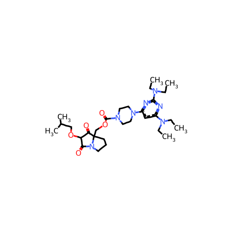 CCN(CC)c1cc(N2CCN(C(=O)OCC34CCCN3C(=O)C(OCC(C)C)C4=O)CC2)nc(N(CC)CC)n1